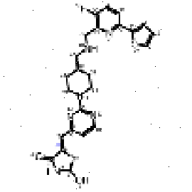 O=C1NC(O)S/C1=C\c1ccnc(N2CCC(CNCc3nc(-c4ccco4)ccc3F)CC2)n1